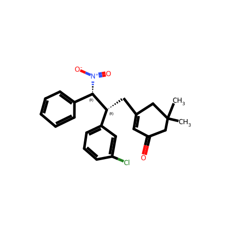 CC1(C)CC(=O)C=C(C[C@H](c2cccc(Cl)c2)[C@H](c2ccccc2)[N+](=O)[O-])C1